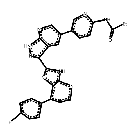 CCC(=O)Nc1ccc(-c2cnc3[nH]nc(-c4nc5c(-c6ccc(F)cc6)ccnc5[nH]4)c3c2)cn1